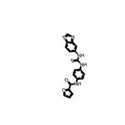 O=C(Nc1ccc(NC(=S)Nc2ccc3scnc3c2)cc1)c1ccco1